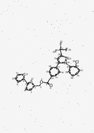 O=C(OCc1ccc(-c2cccs2)s1)c1ccc(-c2cc(C(F)(F)F)nn2-c2ccccc2Cl)cc1